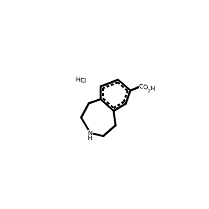 Cl.O=C(O)c1ccc2c(c1)CCNCC2